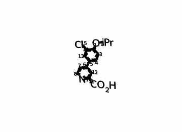 CC(C)Oc1ccc(-c2ccnc(C(=O)O)c2)cc1Cl